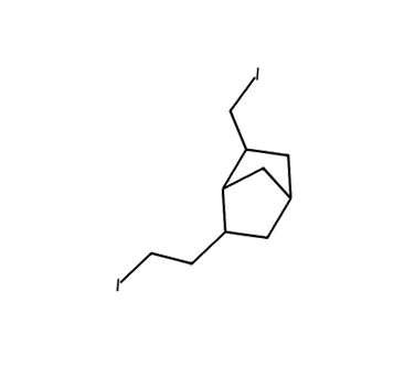 ICCC1CC2CC(CI)C1C2